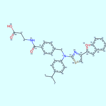 CC(C)c1ccc(N(Cc2ccc(C(=O)NCCC(=O)O)cc2)c2nc(-c3cc4ccccc4o3)cs2)cc1